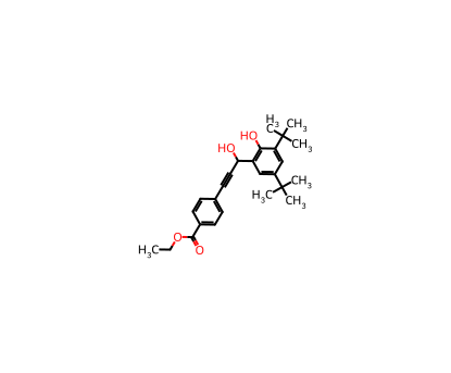 CCOC(=O)c1ccc(C#CC(O)c2cc(C(C)(C)C)cc(C(C)(C)C)c2O)cc1